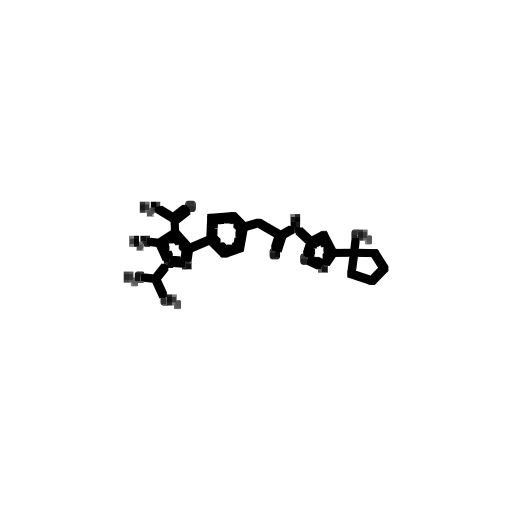 CC(C)n1nc(-c2ccc(CC(=O)Nc3cc(C4(C)CCCC4)no3)cc2)c(C(N)=O)c1N